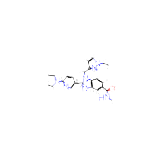 CCN(CC)c1ccc(-c2nc3cc(C(=O)NC)ccc3n2Cc2ccn(CC)n2)cn1